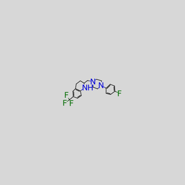 Fc1ccc(N2CCN(CC3CCc4cc(C(F)(F)F)ccc4N3)CC2)cc1